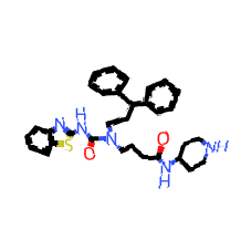 O=C(CCCN(CCC(c1ccccc1)c1ccccc1)C(=O)Nc1nc2ccccc2s1)NC1CCNCC1